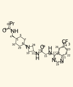 CC(C)C(=O)NC[C@H]1CC[C@@H](N2CC(NC(=O)CNc3ncnc4ccc(C(F)(F)F)cc34)C2)CC1